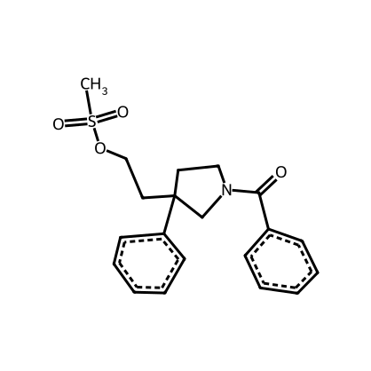 CS(=O)(=O)OCCC1(c2ccccc2)CCN(C(=O)c2ccccc2)C1